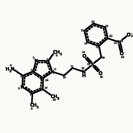 Cc1nc(N)c2nc(C)n(CCNS(=O)(=O)Cc3ccccc3[N+](=O)[O-])c2c1C